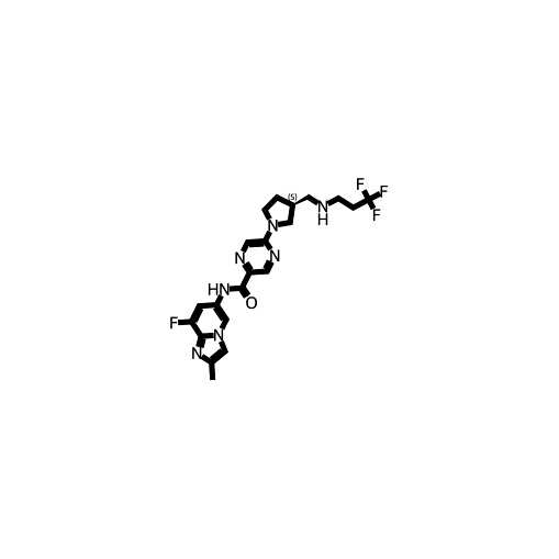 Cc1cn2cc(NC(=O)c3cnc(N4CC[C@@H](CNCCC(F)(F)F)C4)cn3)cc(F)c2n1